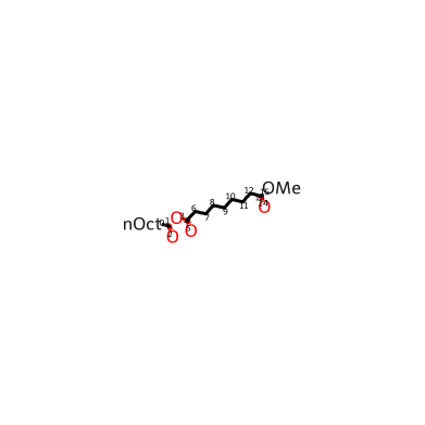 CCCCCCCCC(=O)OC(=O)CCCCCCCC(=O)OC